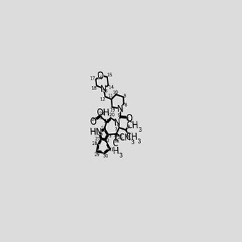 CC(C)C1N(C(=O)N2CCCC(CN3CCOCC3)C2)C=C(C(=O)O)c2[nH]c3ccccc3c2C1(C)C